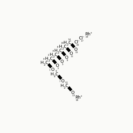 C=O.C=O.C=O.C=O.C=O.C=O.C=O.C=O.[Cl-].[Cl-].[Rh+].[Rh+]